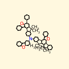 CC1(C)c2cc(N(c3ccc4c(c3)C(C)(C)c3c5c(c6oc7ccccc7c6c3-4)-c3ccccc3C5(C)C)c3ccc4oc5ccccc5c4c3)ccc2-c2c1cc(-c1ccccc1)c1oc3ccccc3c21